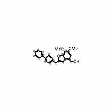 COc1cc(CO)c2cc(Cc3ccc(-c4ccccc4)cc3)oc2c1OC